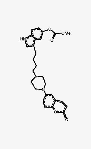 COC(=O)Oc1ccc2[nH]cc(CCCCN3CCN(c4ccc5oc(=O)ccc5c4)CC3)c2c1